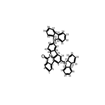 O=c1c2ccccc2c2cc(N3c4ccccc4C4C=CC=CC43)cc3c4cc(-n5c6ccccc6c6ccccc65)ccc4n1c23